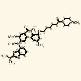 COc1cc(C(=O)N(C)c2ccc(C)cc2OCCCCCC(=O)N2CCN(C)CC2)ccc1N(C=O)c1cccc2[nH]c(N(C)C)nc12